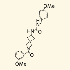 COc1ccc(CNC(=O)NC2CC3(C2)CN(C(=O)c2cccc(OC)c2)C3)cc1